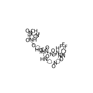 CC(=O)NCCN1CC[C@H](Nc2nc(OC3CCN(C(=O)[C@H]4CC[C@H](NC(=O)CCCO[C@H]5CC[C@H](OCCNC(=O)[C@H]6CC(=O)N(C)[C@@H]6c6cccnc6)CC5)CC4)CC3)nc3ccc(C(F)(F)F)cc23)C1=O